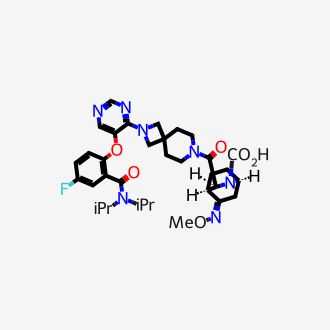 CON=C1C[C@@H]2CC[C@H]1[C@@H](C(=O)N1CCC3(CC1)CN(c1ncncc1Oc1ccc(F)cc1C(=O)N(C(C)C)C(C)C)C3)N2C(=O)O